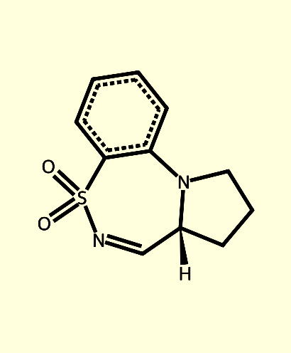 O=S1(=O)N=C[C@H]2CCCN2c2ccccc21